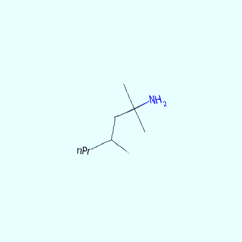 CCCC(C)CC(C)(C)N